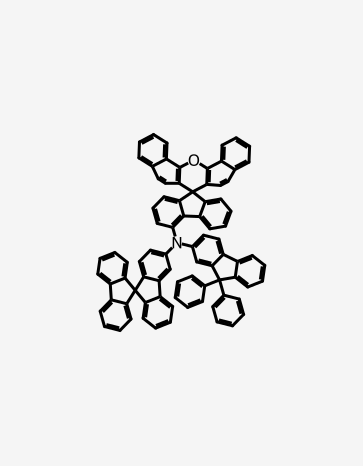 c1ccc(C2(c3ccccc3)c3ccccc3-c3ccc(N(c4ccc5c(c4)-c4ccccc4C54c5ccccc5-c5ccccc54)c4cccc5c4-c4ccccc4C54c5ccc6ccccc6c5Oc5c4ccc4ccccc54)cc32)cc1